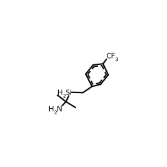 CC(C)(N)[SiH2]Cc1ccc(C(F)(F)F)cc1